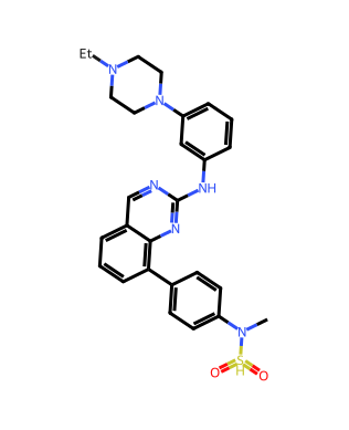 CCN1CCN(c2cccc(Nc3ncc4cccc(-c5ccc(N(C)[SH](=O)=O)cc5)c4n3)c2)CC1